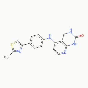 Cc1nc(-c2ccc(Nc3ccnc4c3CNC(=O)N4)cc2)cs1